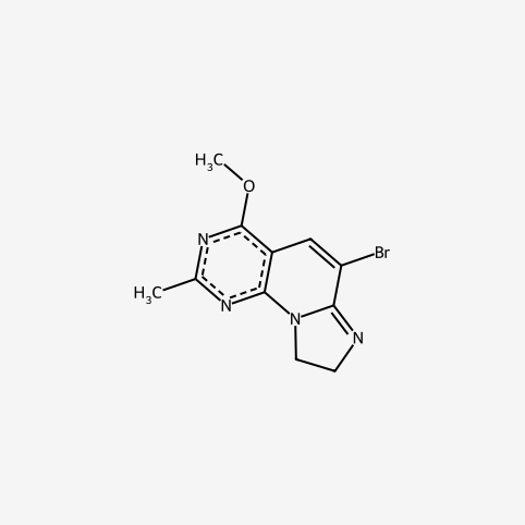 COc1nc(C)nc2c1C=C(Br)C1=NCCN12